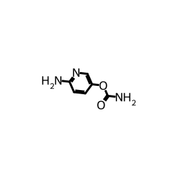 NC(=O)Oc1ccc(N)nc1